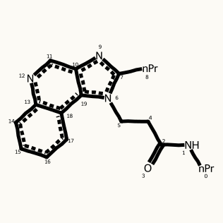 CCCNC(=O)CCn1c(CCC)nc2cnc3ccccc3c21